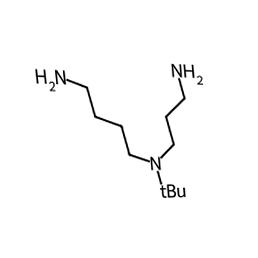 CC(C)(C)N(CCCN)CCCCN